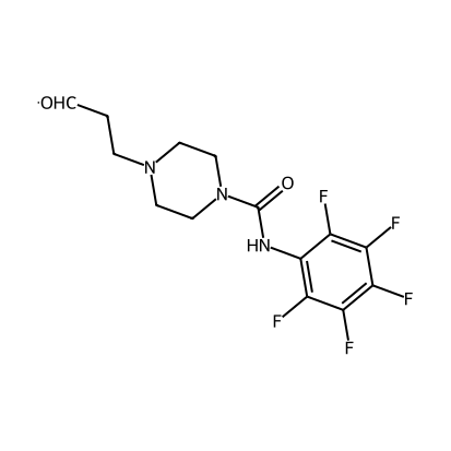 O=[C]CCN1CCN(C(=O)Nc2c(F)c(F)c(F)c(F)c2F)CC1